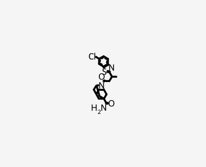 CC(CC(=O)N1C2CC3CC1CC(C(N)=O)(C3)C2)c1nc2ccc(Cl)cc2s1